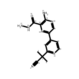 CC(C)(C#N)c1cc(-c2cnc(N)c(C(=O)NN)n2)ccn1